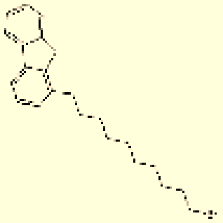 BrCCCCCCCCCCc1cccc2c1Cc1ccccc1-2